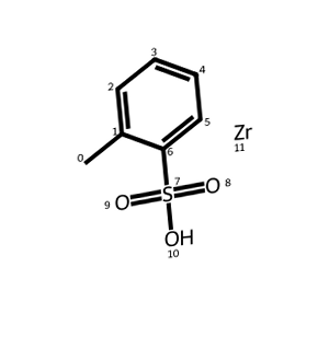 Cc1ccccc1S(=O)(=O)O.[Zr]